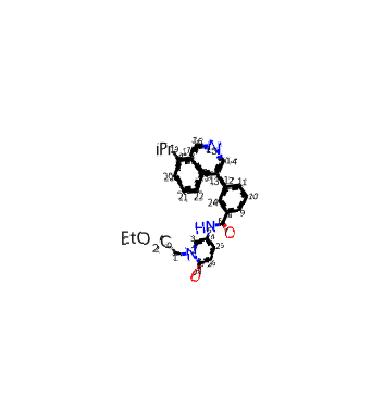 CCOC(=O)Cn1cc(NC(=O)c2cccc(-c3cncc4c(C(C)C)cccc34)c2)ccc1=O